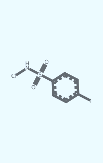 O=S(=O)(NCl)c1ccc(I)cc1